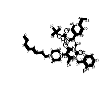 C=C/C=C\C=C\CCN1CCN(c2c(C)n(Cc3c(F)cccc3F)c(=O)n(C[C@H](NC(=O)OC(C)(C)C)C(/C=C\C=C/C)=C/C)c2=O)CC1